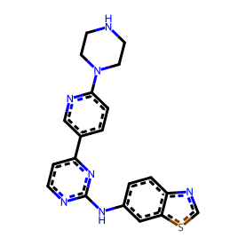 c1cc(-c2ccc(N3CCNCC3)nc2)nc(Nc2ccc3ncsc3c2)n1